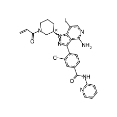 C=CC(=O)N1CCC[C@@H](n2nc(-c3ccc(C(=O)Nc4ccccn4)cc3Cl)c3c(N)ncc(I)c32)C1